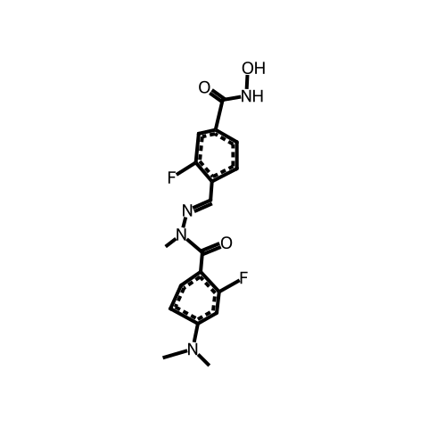 CN(N=Cc1ccc(C(=O)NO)cc1F)C(=O)c1ccc(N(C)C)cc1F